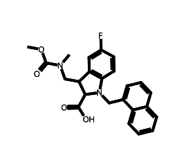 COC(=O)N(C)CC1c2cc(F)ccc2N(Cc2cccc3ccccc23)C1C(=O)O